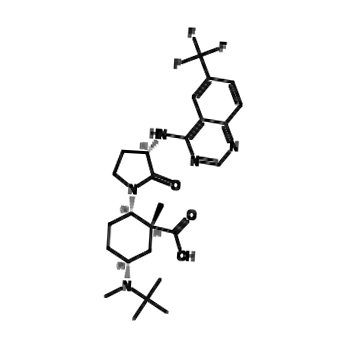 CN([C@@H]1CC[C@H](N2CC[C@H](Nc3ncnc4ccc(C(F)(F)F)cc34)C2=O)[C@](C)(C(=O)O)C1)C(C)(C)C